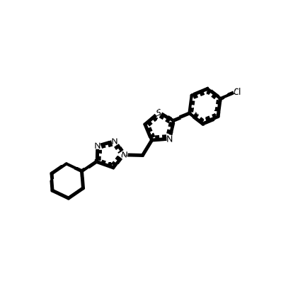 Clc1ccc(-c2nc(Cn3cc(C4CCCCC4)nn3)cs2)cc1